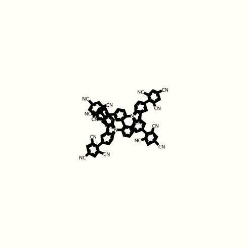 N#Cc1cc(C#N)c(-c2ccc3c(c2)c2cc(-c4c(C#N)cc(C#N)cc4C#N)ccc2n3-c2ccc(-c3ccc(C#N)cc3C(F)(F)F)cc2-c2c(C#N)cccc2-n2c3ccc(-c4c(C#N)cc(C#N)cc4C#N)cc3c3cc(-c4c(C#N)cc(C#N)cc4C#N)ccc32)c(C#N)c1